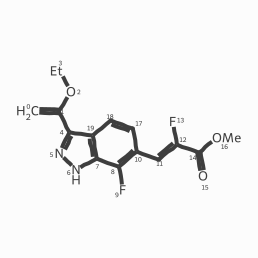 C=C(OCC)c1n[nH]c2c(F)c(/C=C(\F)C(=O)OC)ccc12